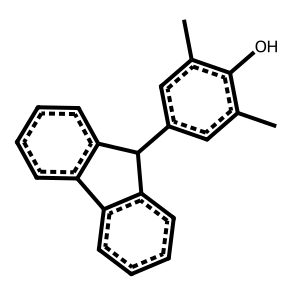 Cc1cc(C2c3ccccc3-c3ccccc32)cc(C)c1O